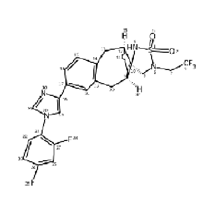 O=S1(=O)N[C@@]2(CN1CC(F)(F)F)[C@@H]1CC[C@H]2Cc2ccc(-c3cn(-c4ccc(F)cc4F)cn3)cc2C1